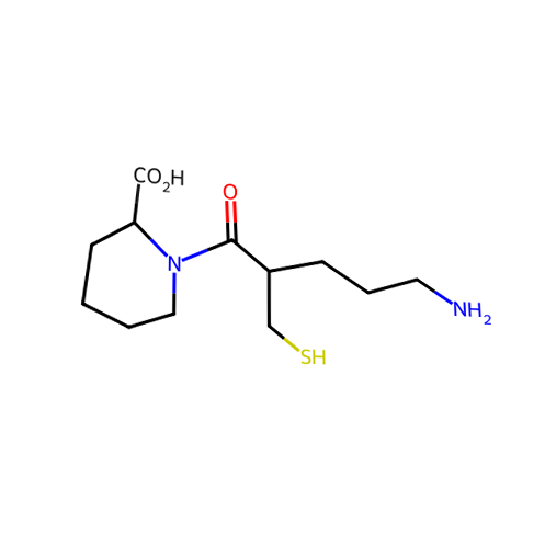 NCCCC(CS)C(=O)N1CCCCC1C(=O)O